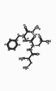 CCC(N)C(=O)N[C@@H](CC(=O)O)C(=O)N[C@@H](Cc1ccccc1)C(=O)OC